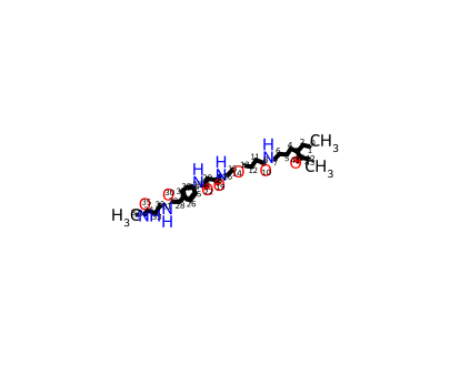 CCCC(CCCCNC(=O)CCCOCCNC(=O)CC(=O)Nc1ccc(CC(=O)NCCC(=O)NC)cc1)C(=O)CC